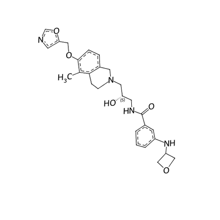 Cc1c(OCc2cnco2)ccc2c1CCN(C[C@@H](O)CNC(=O)c1cccc(NC3COC3)c1)C2